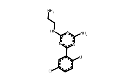 NCCNc1nc(N)nc(-c2cc(Cl)ccc2Cl)n1